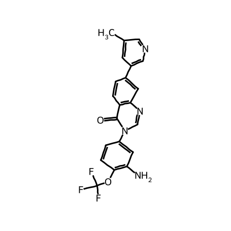 Cc1cncc(-c2ccc3c(=O)n(-c4ccc(OC(F)(F)F)c(N)c4)cnc3c2)c1